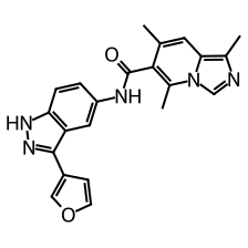 Cc1cc2c(C)ncn2c(C)c1C(=O)Nc1ccc2[nH]nc(-c3ccoc3)c2c1